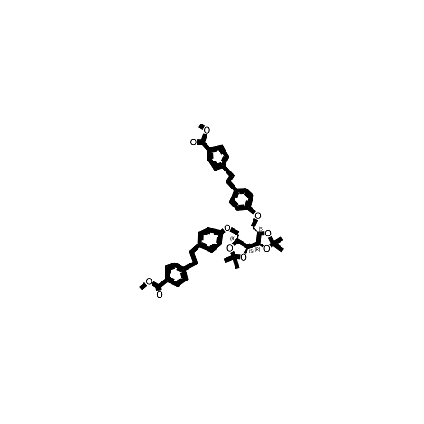 COC(=O)c1ccc(CCc2ccc(OC[C@@H]3OC(C)(C)O[C@H]3[C@H]3OC(C)(C)O[C@@H]3COc3ccc(CCc4ccc(C(=O)OC)cc4)cc3)cc2)cc1